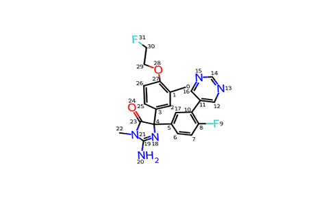 Cc1cc(C2(c3ccc(F)c(-c4cncnc4)c3)N=C(N)N(C)C2=O)ccc1OCCF